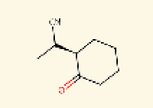 CC(C#N)[C@H]1CCCCC1=O